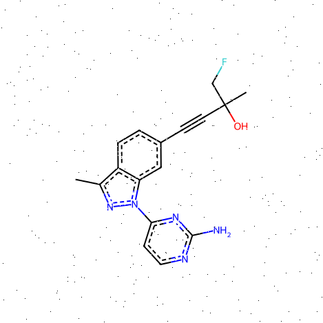 Cc1nn(-c2ccnc(N)n2)c2cc(C#CC(C)(O)CF)ccc12